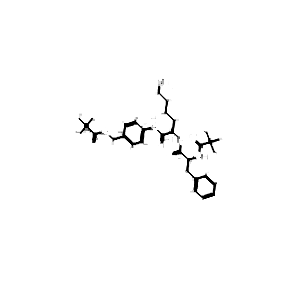 CC(C)(C)C(=O)NC(Cc1ccccc1)C(=O)NC(CCCCN)C(=O)Nc1ccc(COC(=O)C(C)(C)C)cc1